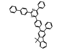 CC1(C)c2ccccc2-c2cc(-c3ccccc3)c(-c3ccc(-c4cc(-c5ccccc5)nc(-c5ccc(-c6ccccc6)cc5)n4)cc3)cc21